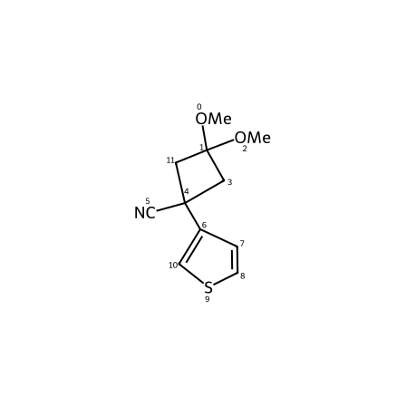 COC1(OC)CC(C#N)(c2ccsc2)C1